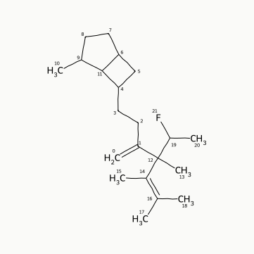 C=C(CCC1CC2CCC(C)C12)C(C)(C(C)=C(C)C)C(C)F